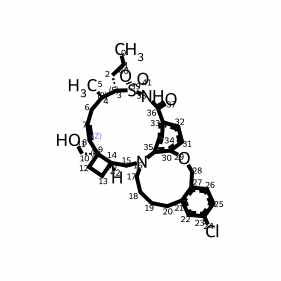 CCC[C@H]1[C@H](C)C/C=C\[C@]2(CO)CC[C@H]2CN2CCCCc3cc(Cl)ccc3COc3ccc(cc32)C(=O)NS1(=O)=O